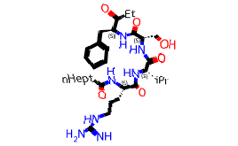 CCCCCCCC(=O)N[C@@H](CCCNC(=N)N)C(=O)N[C@H](C(=O)N[C@@H](CO)C(=O)N[C@@H](Cc1ccccc1)C(=O)CC)C(C)C